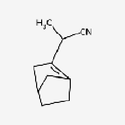 CC(C#N)C1=C2CCC(C2)C1